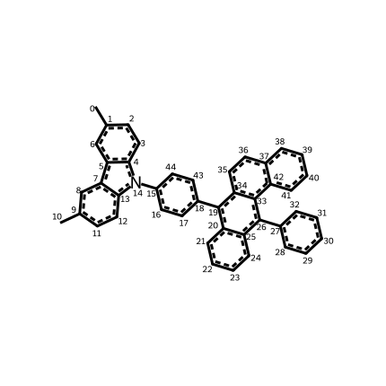 Cc1ccc2c(c1)c1cc(C)ccc1n2-c1ccc(-c2c3ccccc3c(-c3ccccc3)c3c2ccc2ccccc23)cc1